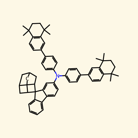 CC1(C)CCC(C)(C)c2cc(-c3ccc(N(c4ccc(-c5ccc6c(c5)C(C)(C)CCC6(C)C)cc4)c4ccc5c(c4)C4(c6ccccc6-5)C5CC6CC7CC4C75C6)cc3)ccc21